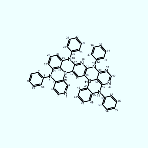 c1ccc(N2c3ccncc3B3c4cc5c(nc4N(c4ccccc4)c4cccc2c43)N(c2ccccc2)c2ncnc3c2B5c2ccccc2N3c2ccccc2)cc1